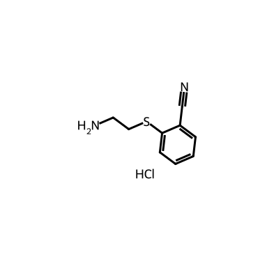 Cl.N#Cc1ccccc1SCCN